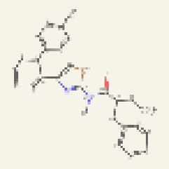 CC(C)c1ccc(-c2ccccc2-c2csc(N(C)C(=O)C(CC(=O)O)Cc3ccccc3)n2)cc1